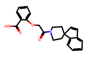 O=C(O)c1ccccc1OCC(=O)N1CCC2(C=Cc3ccccc32)CC1